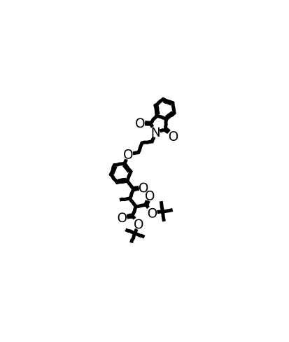 CC(C(=O)c1cccc(OCCCN2C(=O)c3ccccc3C2=O)c1)C(C(=O)OC(C)(C)C)C(=O)OC(C)(C)C